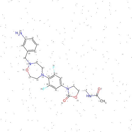 CC(=O)NC[C@H]1CN(c2cc(F)c(N3CCON(Cc4cccc(N)c4)CC3)c(F)c2)C(=O)O1